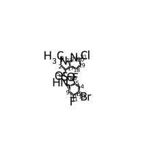 Cn1cc(S(=O)(=O)Nc2cc(F)c(Br)cc2F)c2ccc(Cl)nc21